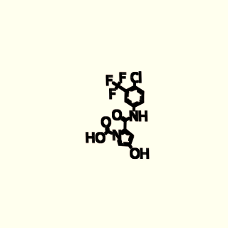 O=C(Nc1ccc(Cl)c(C(F)(F)F)c1)c1cc(O)cn1C(=O)O